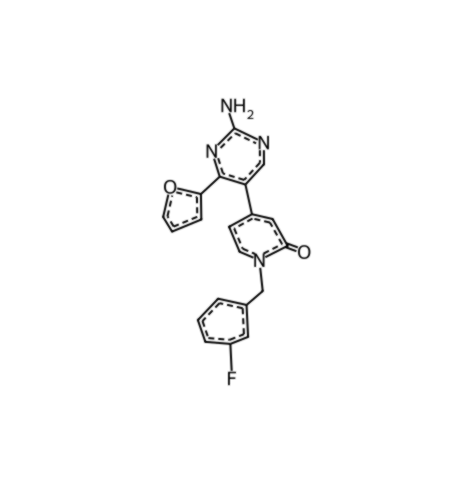 Nc1ncc(-c2ccn(Cc3cccc(F)c3)c(=O)c2)c(-c2ccco2)n1